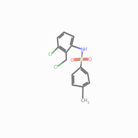 Cc1ccc(S(=O)(=O)Nc2cccc(Cl)c2CCl)cc1